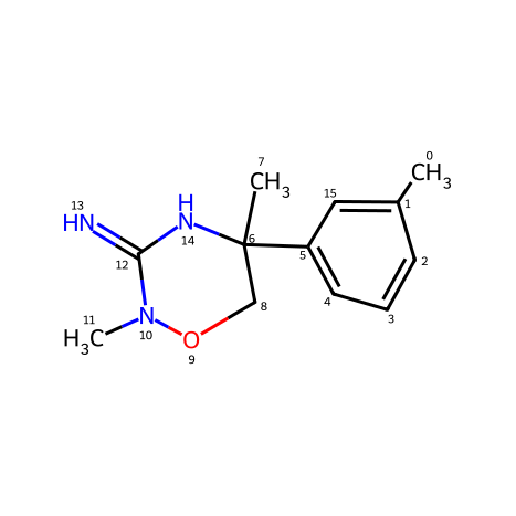 Cc1cccc(C2(C)CON(C)C(=N)N2)c1